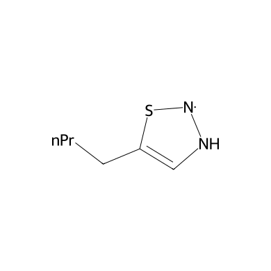 CCCCC1=CN[N]S1